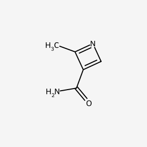 CC1=NC=C1C(N)=O